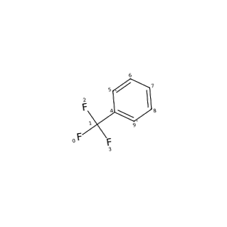 FC(F)(F)c1[c]ccc[c]1